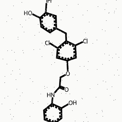 CC(C)c1cc(Cc2c(Cl)cc(OCC(=O)Nc3ccccc3O)cc2Cl)ccc1O